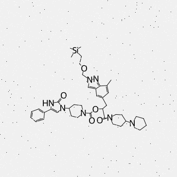 Cc1cc(CC(OC(=O)N2CCC(n3cc(-c4ccccc4)[nH]c3=O)CC2)C(=O)N2CCC(N3CCCCC3)CC2)cc2cn(COCC[Si](C)(C)C)nc12